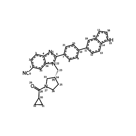 N#Cc1ccc2nc(-c3ccc(-c4ccc5[nH]ccc5c4)cc3)n(C[C@@H]3CCN(C(=O)C4CC4)C3)c2c1